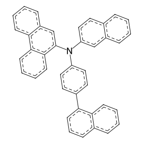 c1ccc2cc(N(c3ccc(-c4cccc5ccccc45)cc3)c3cc4ccccc4c4ccccc34)ccc2c1